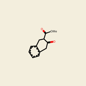 COC(=O)C1Cc2ccccc2CC1=O